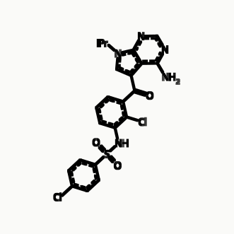 CC(C)n1cc(C(=O)c2cccc(NS(=O)(=O)c3ccc(Cl)cc3)c2Cl)c2c(N)ncnc21